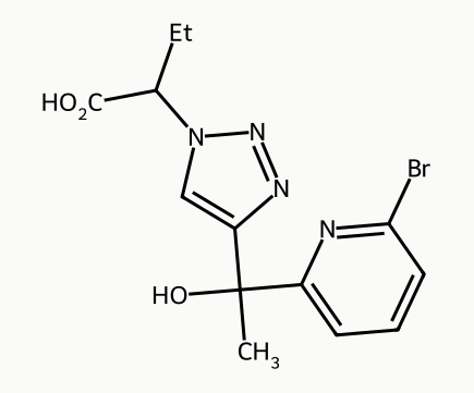 CCC(C(=O)O)n1cc(C(C)(O)c2cccc(Br)n2)nn1